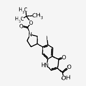 CC(C)(C)OC(=O)N1CCC(c2cc3[nH]cc(C(=O)O)c(=O)c3cc2I)C1